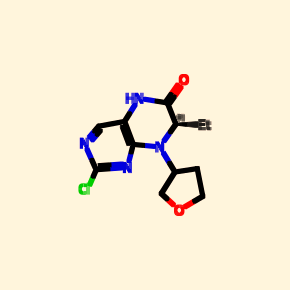 CC[C@@H]1C(=O)Nc2cnc(Cl)nc2N1C1CCOC1